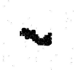 O=C1CCN(N2Cc3cc(CN4CCC(C5CCOc6cc(F)ccc65)CC4)ccc3C2=O)C(=O)N1